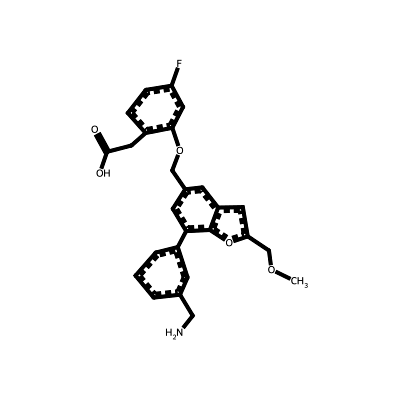 COCc1cc2cc(COc3cc(F)ccc3CC(=O)O)cc(-c3cccc(CN)c3)c2o1